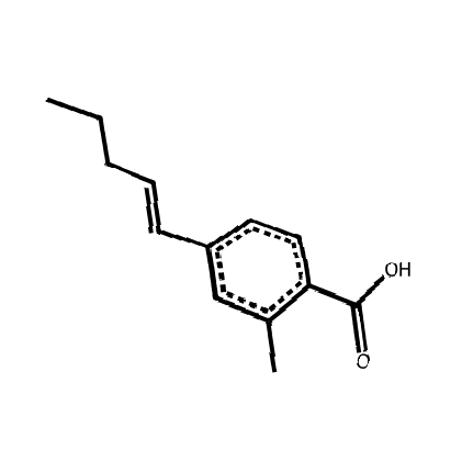 CCCC=Cc1ccc(C(=O)O)c(C)c1